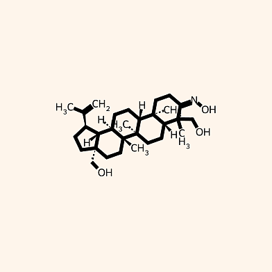 C=C(C)[C@@H]1CC[C@]2(CO)CC[C@]3(C)[C@H](CC[C@@H]4[C@@]5(C)CC/C(=N/O)C(C)(CO)[C@@H]5CC[C@]43C)[C@@H]12